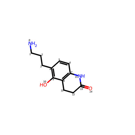 NCCCc1ccc2c(c1O)CCC(=O)N2